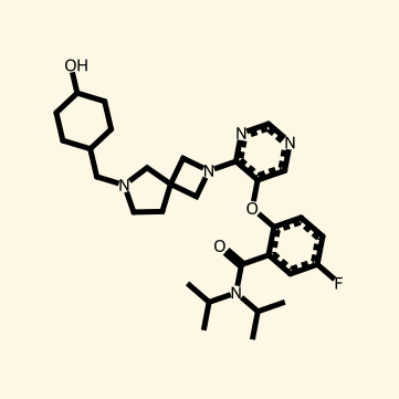 CC(C)N(C(=O)c1cc(F)ccc1Oc1cncnc1N1CC2(CCN(CC3CCC(O)CC3)C2)C1)C(C)C